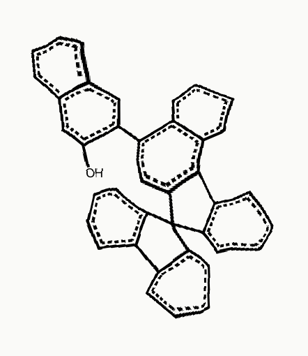 Oc1cc2ccccc2cc1-c1cc2c(c3ccccc13)-c1ccccc1C21c2ccccc2-c2ccccc21